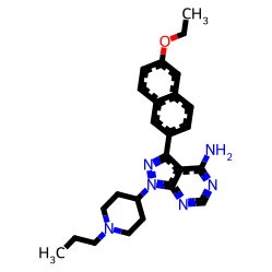 CCCN1CCC(n2nc(-c3ccc4cc(OCC)ccc4c3)c3c(N)ncnc32)CC1